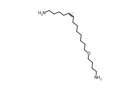 NCCCC/C=C\CCCCCCCOCCCCN